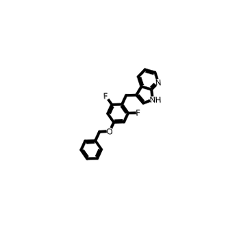 Fc1cc(OCc2ccccc2)cc(F)c1Cc1c[nH]c2ncccc12